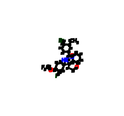 Cc1cc(C(=O)NC2(c3ccc(OC(F)(F)F)c(F)c3)CCOc3cccnc32)ccc1Br